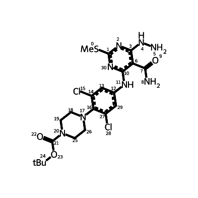 CSc1nc(NN)c(C(N)=O)c(Nc2cc(Cl)c(N3CCN(C(=O)OC(C)(C)C)CC3)c(Cl)c2)n1